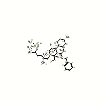 CC(C)C(CC[C@@H](C)[C@H]1CC[C@H]2[C@@H]3[C@H](OCc4ccccc4)CC4C[C@@H](O)CC[C@]4(C)[C@H]3CC[C@]12C)O[Si](C)(C)C(C)(C)C